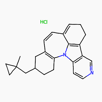 CC1(CC2CCC3=C(C=CC4=CCCc5c4n3c3ccncc53)C2)CC1.Cl